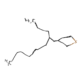 CCCCCC(CCC)C1CSC1